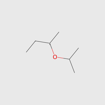 CC[C](C)OC(C)C